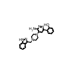 Nc1nnc(-c2ccccc2O)cc1N1CCN(Cc2n[nH]c3ccccc23)CC1